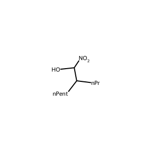 CCCCCC(CCC)C(O)[N+](=O)[O-]